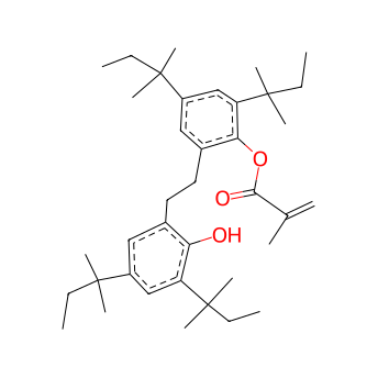 C=C(C)C(=O)Oc1c(CCc2cc(C(C)(C)CC)cc(C(C)(C)CC)c2O)cc(C(C)(C)CC)cc1C(C)(C)CC